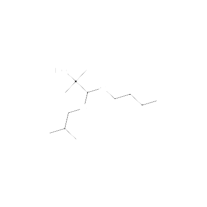 CCCCOC(OCC(C)C)C(C)(C)O